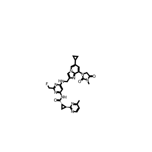 Cc1ccnc([C@H]2C[C@@H]2C(=O)Nc2cc(NCc3cn4cc(C5CC5)cc(N5CC(=O)N(C)C5=O)c4n3)nc(CF)n2)n1